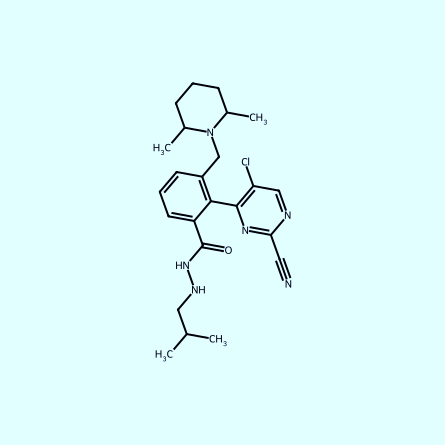 CC(C)CNNC(=O)c1cccc(CN2C(C)CCCC2C)c1-c1nc(C#N)ncc1Cl